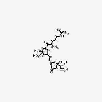 N=C(N)NCCC[C@H](N)C(=O)N1C[C@@H](CCB2OC(=O)CC(CC(=O)O)(C(=O)O)O2)C[C@](N)(C(=O)O)C1